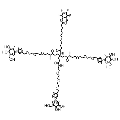 C[C@@H]1[C@@H](O)[C@@H](O)[C@@H](CO)O[C@H]1n1cc(COCCOCCOCCNC(=O)CCC(CCC(=O)NCCOCCOCCOCc2cn([C@@H]3O[C@H](CO)[C@H](O)[C@H](O)[C@H]3C)nn2)(CCC(=O)NCCOCCOCCOCc2cn([C@@H]3O[C@H](CO)[C@H](O)[C@H](O)[C@H]3C)nn2)NC(=O)CCCCCCCCCCC(=O)Oc2c(F)c(F)c(F)c(F)c2F)nn1